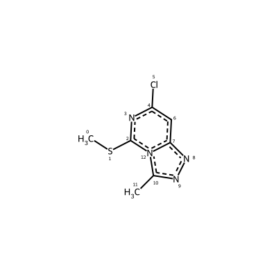 CSc1nc(Cl)cc2nnc(C)n12